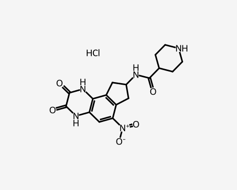 Cl.O=C(NC1Cc2c([N+](=O)[O-])cc3[nH]c(=O)c(=O)[nH]c3c2C1)C1CCNCC1